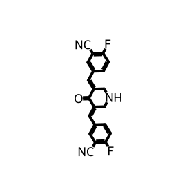 N#Cc1cc(/C=C2\CNC/C(=C\c3ccc(F)c(C#N)c3)C2=O)ccc1F